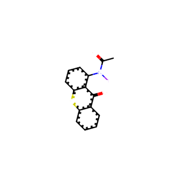 CC(=O)N(I)c1cccc2sc3ccccc3c(=O)c12